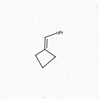 CCC[C]=C1CCC1